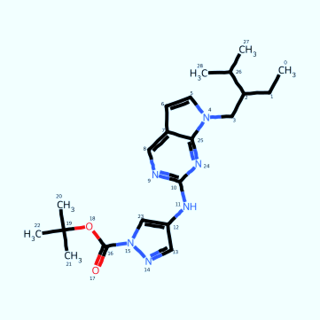 CCC(Cn1ccc2cnc(Nc3cnn(C(=O)OC(C)(C)C)c3)nc21)C(C)C